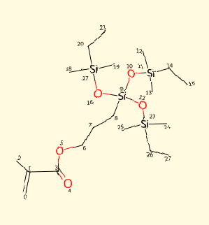 C=C(C)C(=O)OCCC[Si](O[Si](C)(C)CC)(O[Si](C)(C)CC)O[Si](C)(C)CC